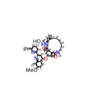 COc1ccc2c(O[C@@H]3C[C@H]4C(=O)N[C@]5(C(=O)O)C[C@H]5CCCCCCN(C)C(=O)[C@@H]4C3)cc(-c3cccc(C(C)C)n3)nc2c1C